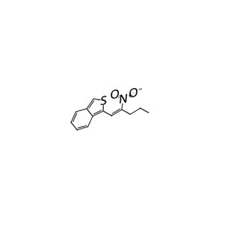 CCCC(=Cc1scc2ccccc12)[N+](=O)[O-]